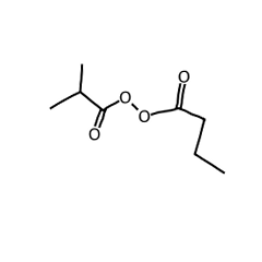 CCCC(=O)OOC(=O)C(C)C